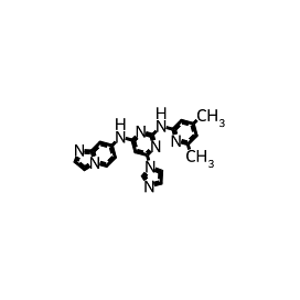 Cc1cc(C)nc(Nc2nc(Nc3ccn4ccnc4c3)cc(-n3ccnc3)n2)c1